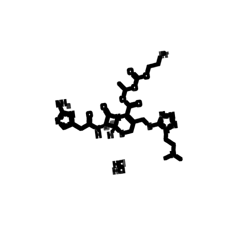 CC(C)CCOC(=O)OC(C)OC(=O)C1=C(CSc2nnnn2CCN(C)C)CS[C@H]2[C@H](NC(=O)Cc3csc(N)n3)C(=O)N12.Cl.Cl